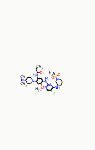 C=CC(=O)Nc1cc(Nc2ncc(Cl)c(NC3CCCN(S(C)(=O)=O)C3)n2)c(OC)cc1N1CCC(N(C)C)CC1